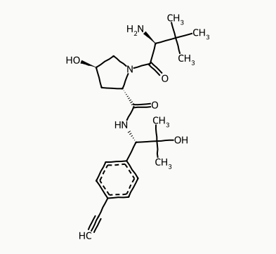 C#Cc1ccc([C@H](NC(=O)[C@@H]2C[C@@H](O)CN2C(=O)[C@@H](N)C(C)(C)C)C(C)(C)O)cc1